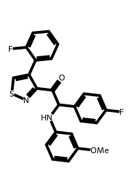 COc1cccc(NC(C(=O)c2nscc2-c2ccccc2F)c2ccc(F)cc2)c1